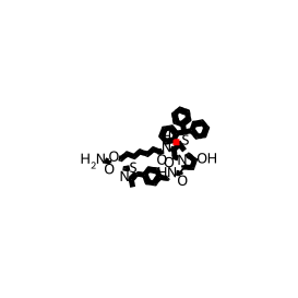 Cc1ncsc1-c1ccc(CNC(=O)[C@@H]2C[C@@H](O)CN2C(=O)C(NC(=O)CCCCCCOC(N)=O)C(C)(C)SC(c2ccccc2)(c2ccccc2)c2ccccc2)cc1